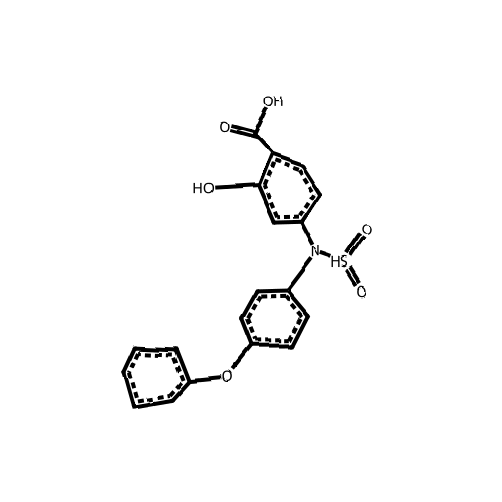 O=C(O)c1ccc(N(c2ccc(Oc3ccccc3)cc2)[SH](=O)=O)cc1O